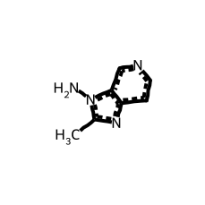 Cc1nc2ccncc2n1N